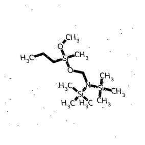 CCC[Si](C)(OC)OCN([Si](C)(C)C)[Si](C)(C)C